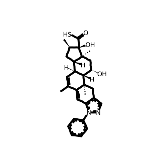 CC1=C[C@@H]2[C@H]([C@@H](O)C[C@@]3(C)[C@H]2C[C@@H](C)[C@]3(O)C(=O)S)[C@@]2(C)Cc3cnn(-c4ccccc4)c3C=C12